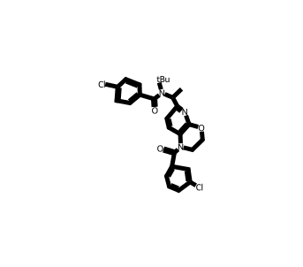 CC(c1ccc2c(n1)OCCN2C(=O)c1cccc(Cl)c1)N(C(=O)c1ccc(Cl)cc1)C(C)(C)C